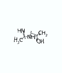 C=C(O)CNC(C)=N